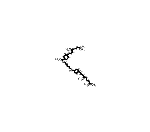 C=C(OCCCCCCONC1CC=C(CC/C=C(\C)CCC=C(C)C)CC1)C1CC=C(CC/C=C(\C)CCC=C(C)C)CC1